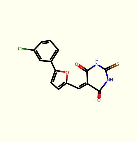 O=C1NC(=S)NC(=O)C1=Cc1ccc(-c2cccc(Cl)c2)o1